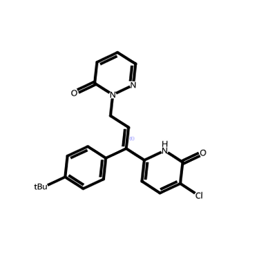 CC(C)(C)c1ccc(/C(=C\Cn2ncccc2=O)c2ccc(Cl)c(=O)[nH]2)cc1